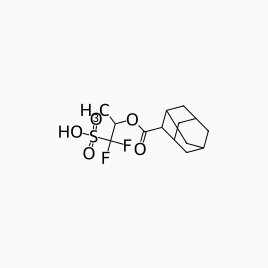 CC(OC(=O)C1C2CC3CC(C2)CC1C3)C(F)(F)S(=O)(=O)O